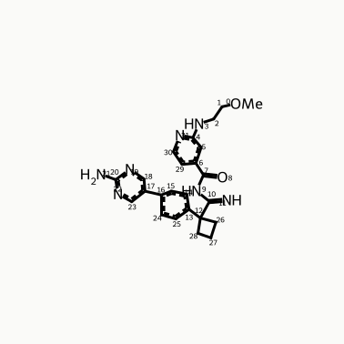 COCCNc1cc(C(=O)NC(=N)C2(c3ccc(-c4cnc(N)nc4)cc3)CCC2)ccn1